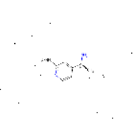 CC(=O)Nc1cc([C@H](C)N)ccn1